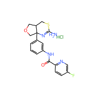 Cl.NC1=NC2(c3cccc(NC(=O)c4ccc(F)cn4)c3)COCC2CS1